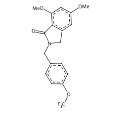 COc1cc2c(c(OC)c1)C(=O)N(Cc1ccc(OC(F)(F)F)cc1)C2